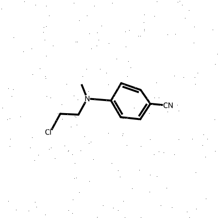 CN(CCCl)c1ccc(C#N)cc1